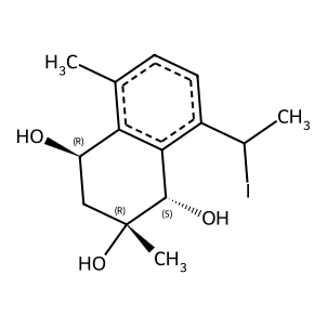 Cc1ccc(C(C)I)c2c1[C@H](O)C[C@@](C)(O)[C@H]2O